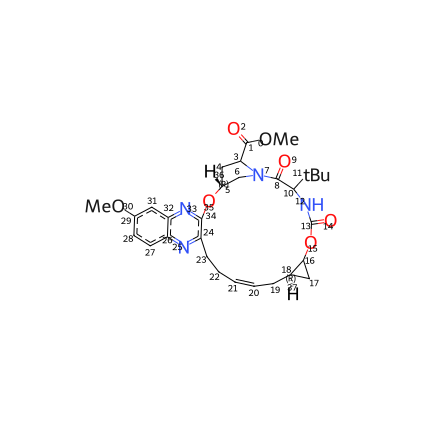 COC(=O)C1C[C@@H]2CN1C(=O)C(C(C)(C)C)NC(=O)OC1C[C@H]1CC=CCCc1nc3ccc(OC)cc3nc1O2